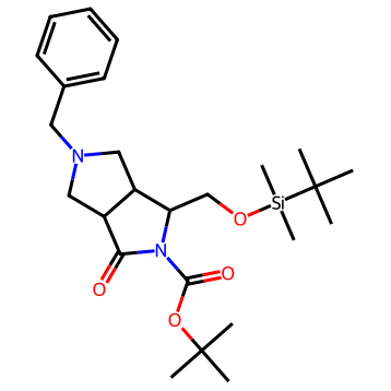 CC(C)(C)OC(=O)N1C(=O)C2CN(Cc3ccccc3)CC2C1CO[Si](C)(C)C(C)(C)C